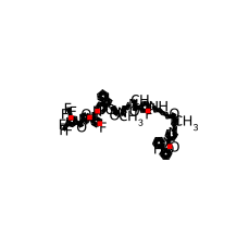 CN(CCN1CCC(N(C(=O)O)c2ccccc2-c2ccccc2)CC1)C(=O)CCCCCNc1ccc(C(=O)N(C)CCCN(C)C(=O)CO[C@H]2Cc3ccccc3C23CCN(CC[C@]2(c4ccc(F)cc4)CN(C(=O)c4cc(C(F)(F)F)cc(C(F)(F)F)c4)CO2)CC3)cc1F